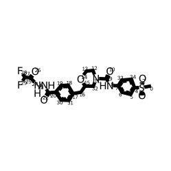 CS(=O)(=O)c1ccc(NC(=O)N2CCOC(Cc3ccc(C(=O)NNC(=O)C(F)F)cc3)C2)cc1